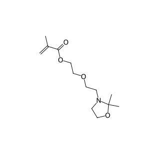 C=C(C)C(=O)OCCOCCN1CCOC1(C)C